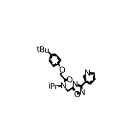 CC(C)N(Cc1nc(-c2cccnc2)no1)C(=O)COc1ccc(C(C)(C)C)cc1